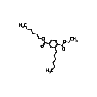 CCCCCCOC(=O)c1ccc(C(=O)OCC)c(CCCCCC)c1